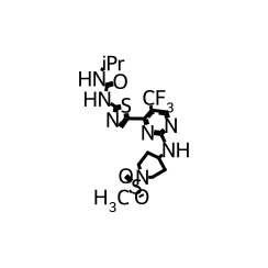 CC(C)NC(=O)Nc1ncc(-c2nc(NC3CCN(S(C)(=O)=O)CC3)ncc2C(F)(F)F)s1